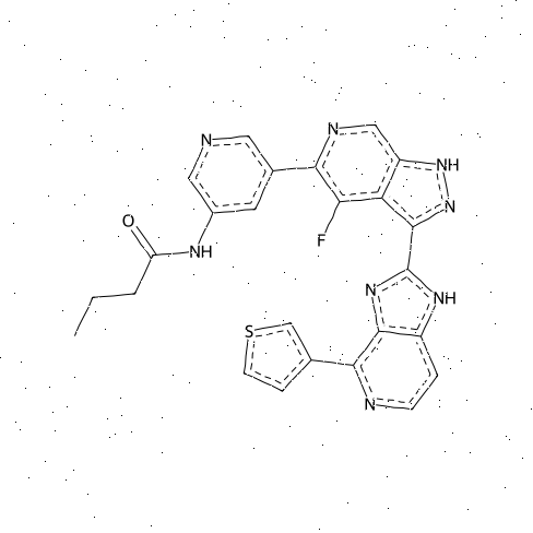 CCCC(=O)Nc1cncc(-c2ncc3[nH]nc(-c4nc5c(-c6ccsc6)nccc5[nH]4)c3c2F)c1